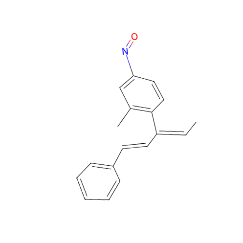 C/C=C(/C=C/c1ccccc1)c1ccc(N=O)cc1C